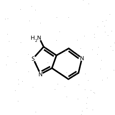 Nc1snc2ccncc12